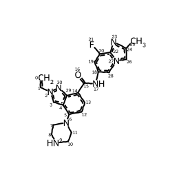 C=Cn1cc2c(N3CCNCC3)ccc(C(=O)Nc3cc(F)c4nc(C)cn4c3)c2n1